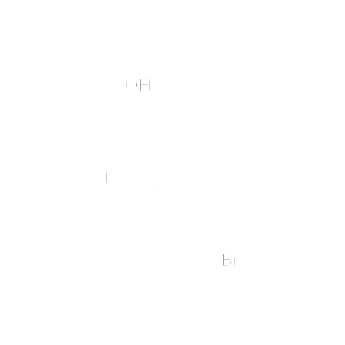 OCC=C(I)c1ccc(Br)cc1